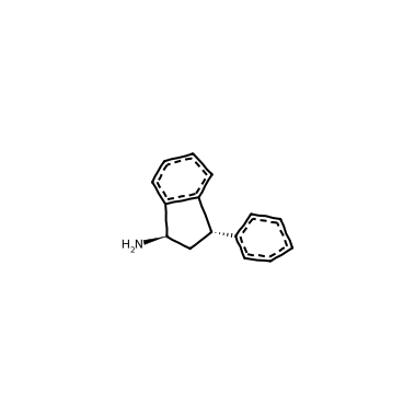 N[C@@H]1C[C@@H](c2ccccc2)c2ccccc21